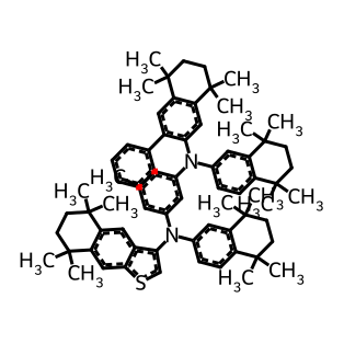 Cc1cc(N(c2ccc3c(c2)C(C)(C)CCC3(C)C)c2cc3c(cc2-c2ccccc2)C(C)(C)CCC3(C)C)cc(N(c2ccc3c(c2)C(C)(C)CCC3(C)C)c2csc3cc4c(cc23)C(C)(C)CCC4(C)C)c1